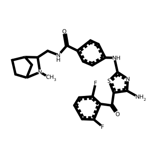 CN1C2CCC(C2)C1CNC(=O)c1ccc(Nc2nc(N)c(C(=O)c3c(F)cccc3F)s2)cc1